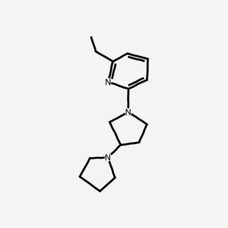 CCc1cccc(N2CCC(N3CCCC3)C2)n1